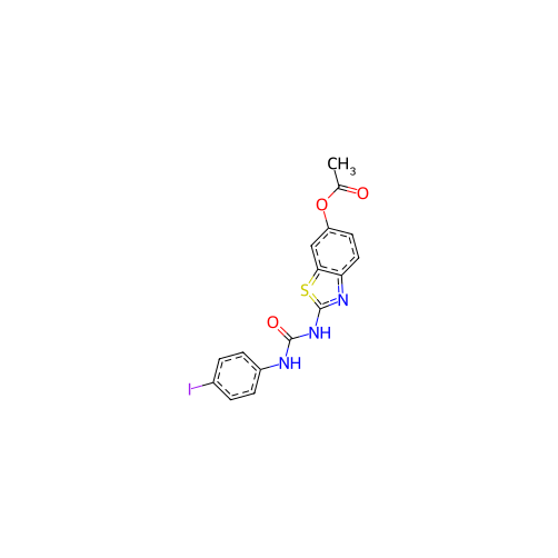 CC(=O)Oc1ccc2nc(NC(=O)Nc3ccc(I)cc3)sc2c1